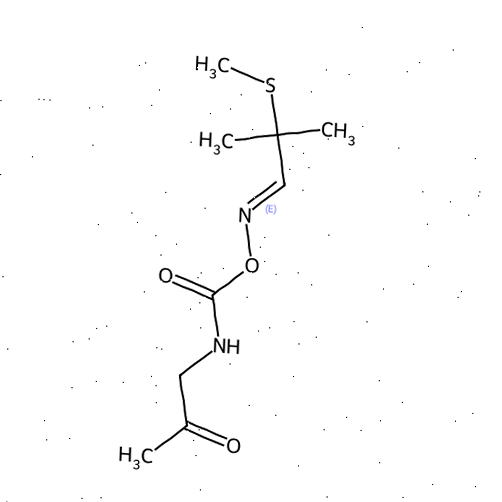 CSC(C)(C)/C=N/OC(=O)NCC(C)=O